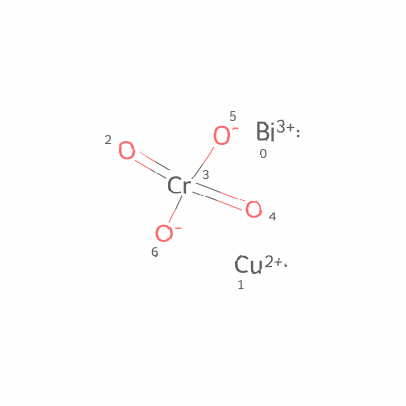 [Bi+3].[Cu+2].[O]=[Cr](=[O])([O-])[O-]